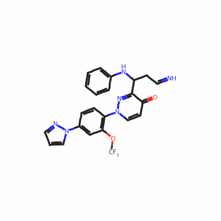 N=CCC(Nc1ccccc1)c1nn(-c2ccc(-n3cccn3)cc2OC(F)(F)F)ccc1=O